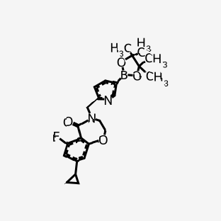 CC1(C)OB(c2ccc(CN3CCOc4cc(C5CC5)cc(F)c4C3=O)nc2)OC1(C)C